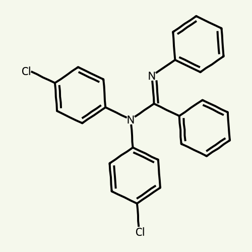 Clc1ccc(N(C(=Nc2ccccc2)c2ccccc2)c2ccc(Cl)cc2)cc1